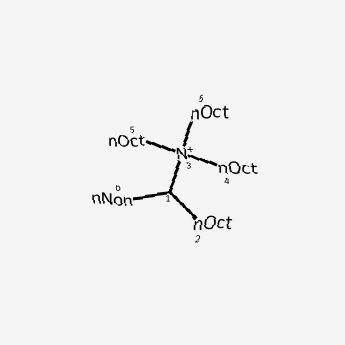 CCCCCCCCCC(CCCCCCCC)[N+](CCCCCCCC)(CCCCCCCC)CCCCCCCC